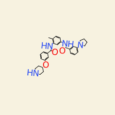 Cc1ccc(NC(=O)c2cccc(N3CCCC3)c2)cc1NC(=O)c1cccc(OC2CCNCC2)c1